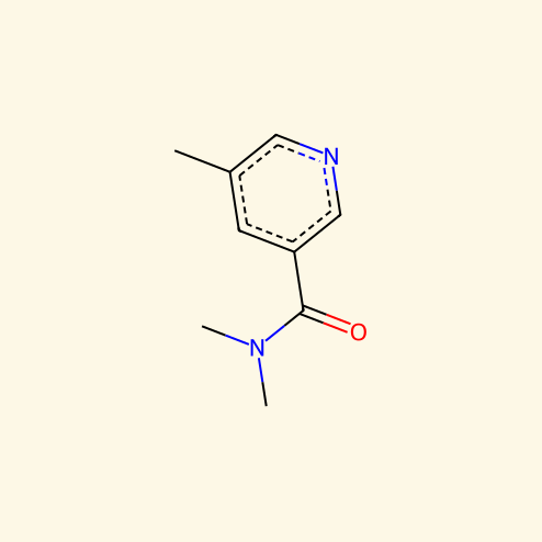 Cc1cncc(C(=O)N(C)C)c1